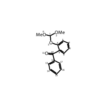 COC(OC)Oc1ccccc1C(=O)c1ccccc1